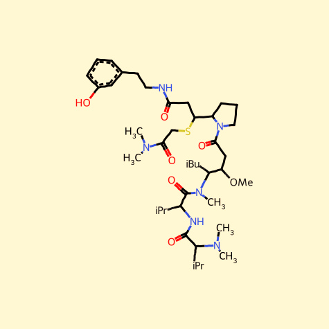 CCC(C)C(C(CC(=O)N1CCCC1C(CC(=O)NCCc1cccc(O)c1)SCC(=O)N(C)C)OC)N(C)C(=O)C(NC(=O)C(C(C)C)N(C)C)C(C)C